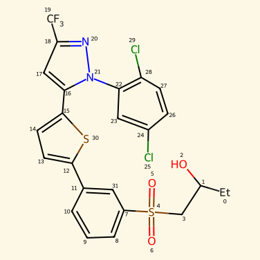 CCC(O)CS(=O)(=O)c1cccc(-c2ccc(-c3cc(C(F)(F)F)nn3-c3cc(Cl)ccc3Cl)s2)c1